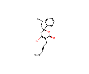 CCCCCC=CCC1=C(O)CC(CCC(C)C)(c2ccccc2)OC1=O